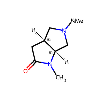 CNN1C[C@@H]2CC(=O)N(C)[C@@H]2C1